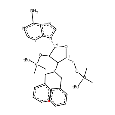 CC(C)(C)[Si](C)(C)OC[C@H]1O[C@@H](n2cnc3c(N)ncnc32)C(O[Si](C)(C)C(C)(C)C)C1N(Cc1ccccc1)Cc1ccccc1